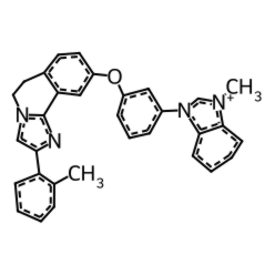 Cc1ccccc1-c1cn2c(n1)-c1cc(Oc3cccc(-n4c[n+](C)c5ccccc54)c3)ccc1CC2